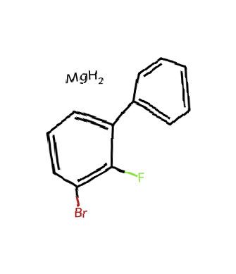 Fc1c(Br)cccc1-c1ccccc1.[MgH2]